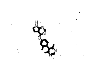 Cc1cc(Oc2ncnc3c2CCN3)ccc1-c1c(C)ncnc1C